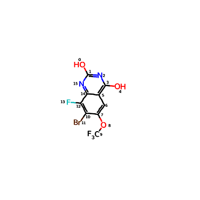 Oc1nc(O)c2cc(OC(F)(F)F)c(Br)c(F)c2n1